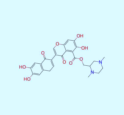 CN1CCN(C)C(COC(=O)c2c(O)c(O)cc3occ(C4=CCc5cc(O)c(O)cc5C4=O)c(=O)c23)C1